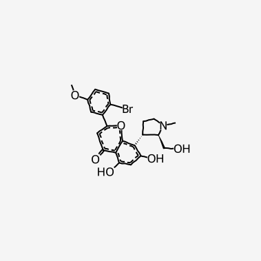 COc1ccc(Br)c(-c2cc(=O)c3c(O)cc(O)c([C@@H]4CCN(C)[C@H]4CO)c3o2)c1